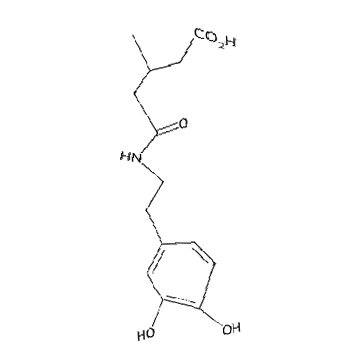 CC(CC(=O)O)CC(=O)NCCc1ccc(O)c(O)c1